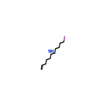 C=CCCCCCCCCCI.N